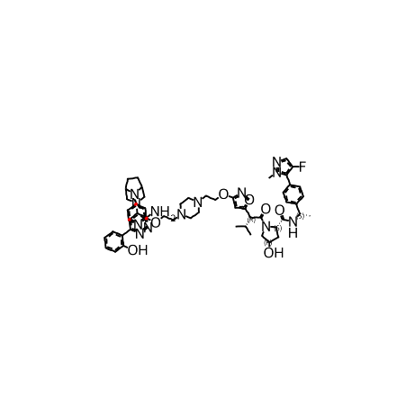 CC(C)[C@@H](C(=O)N1C[C@H](O)C[C@H]1C(=O)N[C@@H](C)c1ccc(-c2c(F)cnn2C)cc1)c1cc(OCCN2CCN(CCOc3cc(N4C5CCC4CN(c4cc(-c6ccccc6O)nnc4N)C5)ccn3)CC2)no1